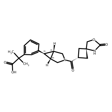 CC(C)(C(=O)O)c1cccc([C@H]2[C@@H]3CN(C(=O)[C@H]4C[C@]5(COC(=O)N5)C4)C[C@@H]32)c1